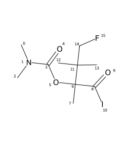 CN(C)C(=O)OC(C)(C(=O)I)C(C)(C)CF